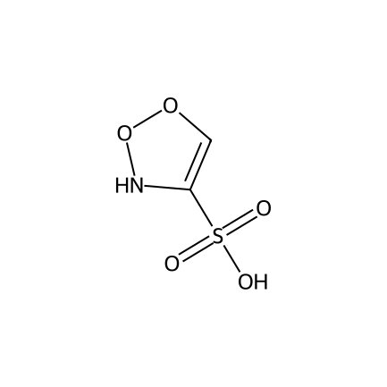 O=S(=O)(O)C1=COON1